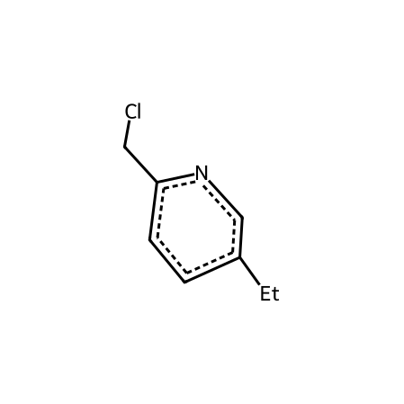 CCc1ccc(CCl)nc1